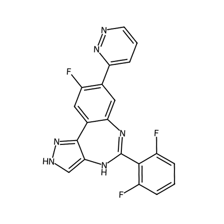 Fc1cc2c(cc1-c1cccnn1)N=C(c1c(F)cccc1F)Nc1c[nH]nc1-2